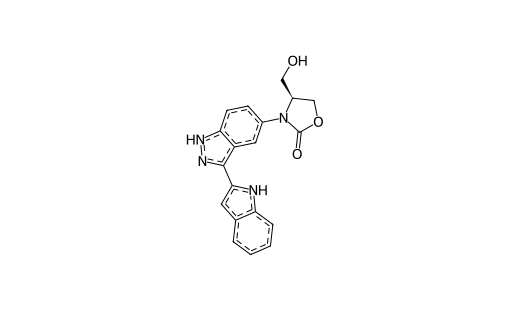 O=C1OC[C@H](CO)N1c1ccc2[nH]nc(-c3cc4ccccc4[nH]3)c2c1